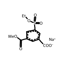 CCOS(=O)(=O)c1cc(C(=O)[O-])cc(C(=O)OC)c1.[Na+]